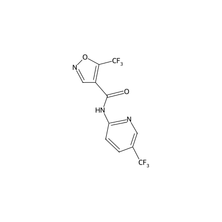 O=C(Nc1ccc(C(F)(F)F)cn1)c1cnoc1C(F)(F)F